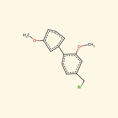 COc1cccc(-c2ccc(CBr)cc2OC)c1